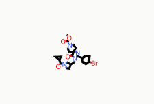 COC(=O)N1CCC2(CC1)N=C(c1ccc(Br)cc1)N(CC1CCN(C(=O)C3CC3)C1)C2=O